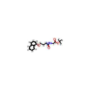 CC(C)(C)OC(=O)CNC(=O)CCCOc1cccc2ccccc12